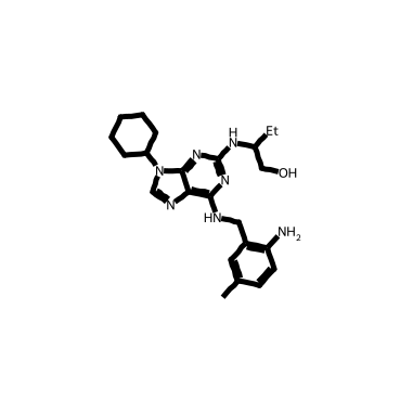 CCC(CO)Nc1nc(NCc2cc(C)ccc2N)c2ncn(C3CCCCC3)c2n1